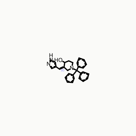 OC1CCN(C(c2ccccc2)(c2ccccc2)c2ccccc2)C/C1=C/c1cn[nH]c1